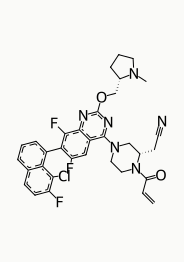 C=CC(=O)N1CCN(c2nc(OC[C@@H]3CCCN3C)nc3c(F)c(-c4cccc5ccc(F)c(Cl)c45)c(F)cc23)C[C@@H]1CC#N